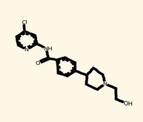 O=C(Nc1cc(Cl)ccn1)c1ccc(C2CCN(CCO)CC2)cc1